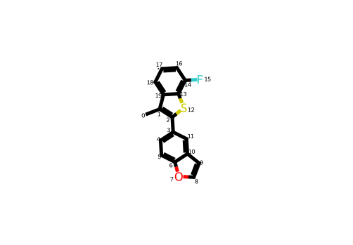 Cc1c(-c2ccc3occc3c2)sc2c(F)c[c]cc12